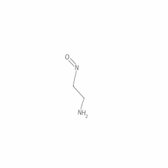 NCCN=O